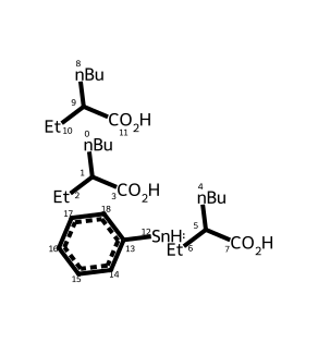 CCCCC(CC)C(=O)O.CCCCC(CC)C(=O)O.CCCCC(CC)C(=O)O.[SnH][c]1ccccc1